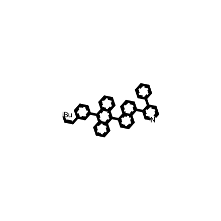 CCC(C)/C=C\c1cccc(-c2c3ccccc3c(-c3cccc4c(-c5cnccc5-c5ccccc5)cccc34)c3ccccc23)c1